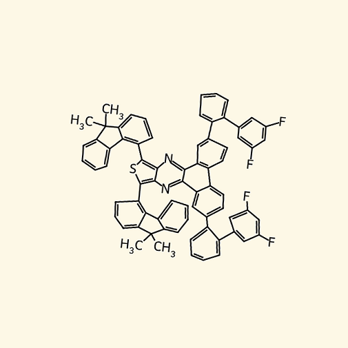 CC1(C)c2ccccc2-c2c(-c3sc(-c4cccc5c4-c4ccccc4C5(C)C)c4nc5c6cc(-c7ccccc7-c7cc(F)cc(F)c7)ccc6c6ccc(-c7ccccc7-c7cc(F)cc(F)c7)cc6c5nc34)cccc21